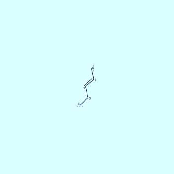 [C]C=CC[C]